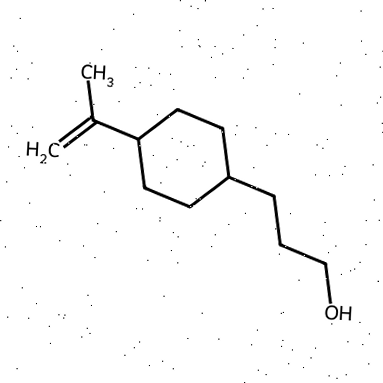 C=C(C)C1CCC(CCCO)CC1